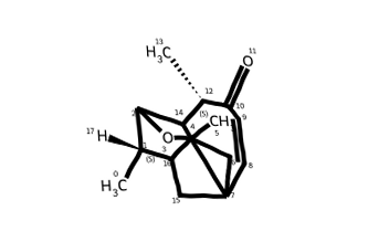 C[C@@H]1C2OC3(C)CC4(C=CC(=O)[C@@H](C)C24)CC13